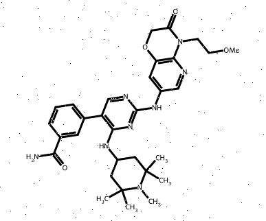 COCCN1C(=O)COc2cc(Nc3ncc(-c4cccc(C(N)=O)c4)c(NC4CC(C)(C)N(C)C(C)(C)C4)n3)cnc21